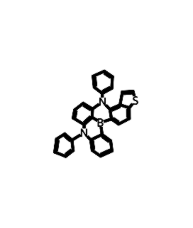 c1ccc(N2c3ccccc3B3c4ccc5sccc5c4N(c4ccccc4)c4cccc2c43)cc1